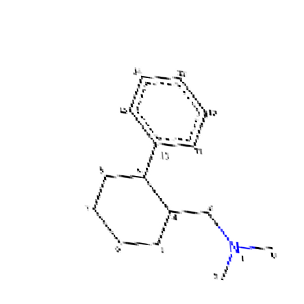 CN(C)CC1CCCCC1c1c[c]ccc1